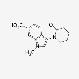 Cn1cc(N2CCCCC2=O)c2ccc(C(=O)O)cc21